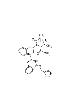 CNC(=O)N(C(C(N)=O)C(C)C)[C@@H](Cc1ccccc1)C[C@H](O)[C@H](Cc1ccccc1)NC(=O)OCc1cncs1